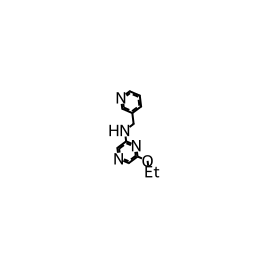 CCOc1cncc(NCc2cccnc2)n1